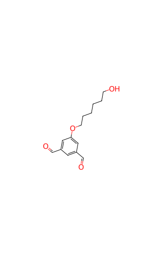 O=Cc1cc(C=O)cc(OCCCCCCO)c1